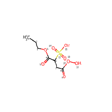 CCCOC(=O)C(CC(=O)OO)S(=O)(=O)O